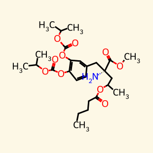 CCCCC(=O)OC(C)C[C@@](N)(Cc1ccc(OC(=O)OC(C)C)c(OC(=O)OC(C)C)c1)C(=O)OC